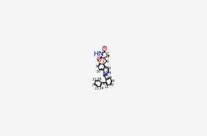 O=C1NC(=O)C(Cc2cccc3c2ccn3Cc2ccccc2-c2ccccc2)S1